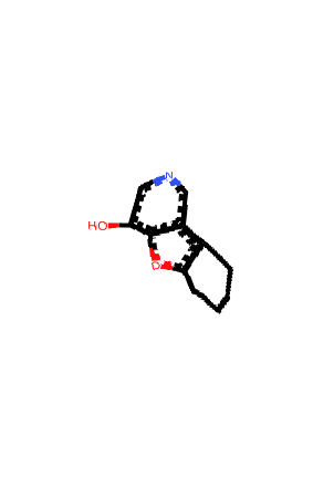 Oc1cncc2c3c(oc12)CCCC3